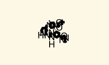 Cc1noc(-c2ccc3nc(Nc4cc(CN5C[C@@H](C)N(C(=O)OC(C)(C)C)C[C@@H]5C)ccn4)[nH]c3c2)n1